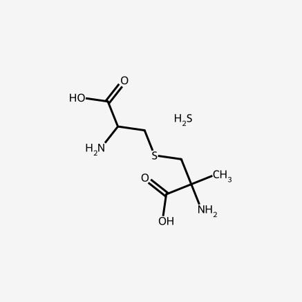 CC(N)(CSCC(N)C(=O)O)C(=O)O.S